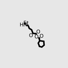 CCNCCCC(=O)C(=O)OC(=O)C1CCCCC1